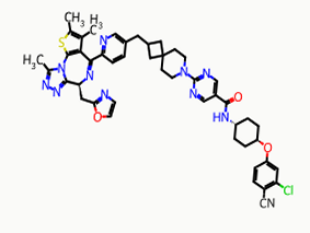 Cc1sc2c(c1C)C(c1ccc(CC3CC4(CCN(c5ncc(C(=O)N[C@H]6CC[C@H](Oc7ccc(C#N)c(Cl)c7)CC6)cn5)CC4)C3)cn1)=N[C@@H](Cc1ncco1)c1nnc(C)n1-2